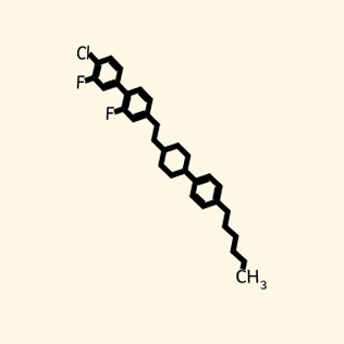 CCCCCCc1ccc(C2CCC(CCc3ccc(-c4ccc(Cl)c(F)c4)c(F)c3)CC2)cc1